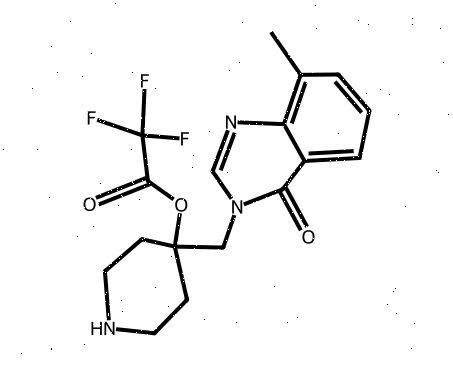 Cc1cccc2c(=O)n(CC3(OC(=O)C(F)(F)F)CCNCC3)cnc12